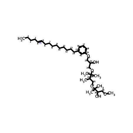 CCCC/C=C/CCCCCCCCCc1cccc(OCC(O)COC(C)(C)C(C)COC(C)(C)C(O)COC)c1